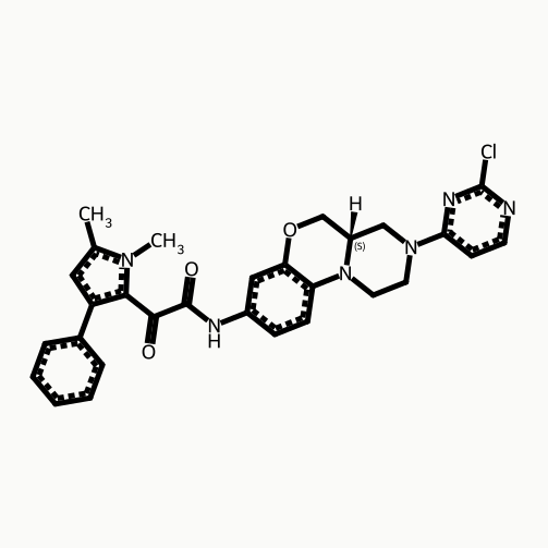 Cc1cc(-c2ccccc2)c(C(=O)C(=O)Nc2ccc3c(c2)OC[C@@H]2CN(c4ccnc(Cl)n4)CCN32)n1C